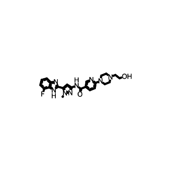 Cn1nc(NC(=O)c2ccc(N3CCN(CCO)CC3)nc2)cc1-c1nc2cccc(F)c2[nH]1